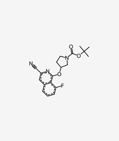 CC(C)(C)OC(=O)N1CCC(Oc2nc(C#N)cc3cccc(F)c23)C1